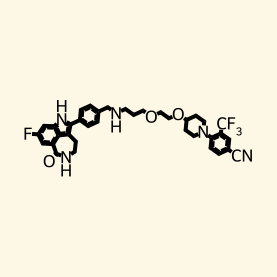 N#Cc1ccc(N2CCC(OCCOCCCNCc3ccc(-c4[nH]c5cc(F)cc6c5c4CCNC6=O)cc3)CC2)c(C(F)(F)F)c1